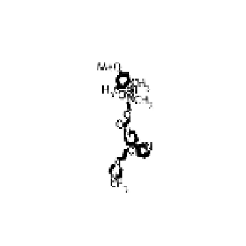 COc1cc(C)c(S(=O)(=O)N(C)CCOCC(=O)N2CCC(OCCCN3CCN(C)CC3)(c3cccnc3)CC2)c(C)c1